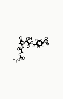 CC(=O)OCC(=O)S[C@@H]1CC(=O)N1C(O)C(=O)OCc1ccc([N+](=O)[O-])cc1